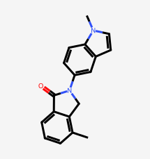 Cc1cccc2c1CN(c1ccc3c(ccn3C)c1)C2=O